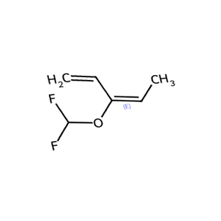 C=C/C(=C\C)OC(F)F